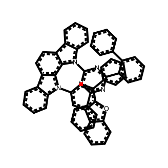 c1ccc(-c2nc(-c3ccccc3-c3ccccc3)nc(-n3c4ccccc4c4ccc5c6ccccc6n(-c6cc(-c7ccccc7)c7oc8ccccc8c7c6)c5c43)n2)cc1